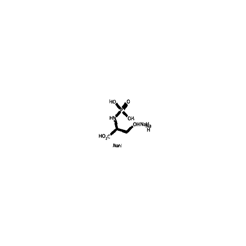 O=C(O)C(CO)NP(=O)(O)O.[NaH].[NaH].[NaH]